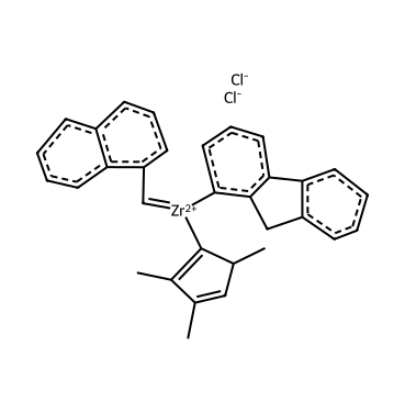 CC1=CC(C)[C](/[Zr+2](=[CH]/c2cccc3ccccc23)[c]2cccc3c2Cc2ccccc2-3)=C1C.[Cl-].[Cl-]